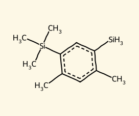 Cc1cc(C)c([Si](C)(C)C)cc1[SiH3]